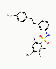 COc1cc(C)c(S(=O)(=O)Nc2cccc(CCc3ccc(C(=O)O)cc3)c2)c(C)c1C